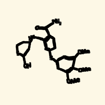 COc1cc(Sc2ccc(C(N)=O)c(NC3CCSC(O)C3)c2)cc(OC)c1OC